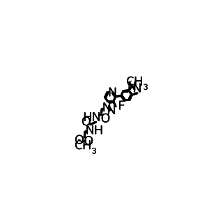 COC(=O)CNC(=O)CNC(=O)Cn1ncc2c(-c3cc4c(cnn4C)cc3F)nccc21